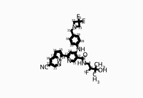 CC(C)(O)C(F)CNC(=O)c1cnc(-c2ccc3cc(C#N)cnn23)cc1Nc1ccc(CN2CC(F)(F)C2)cc1